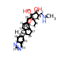 CNC[C@H]1C[C@@]23CC[C@@]4(O2)C(=CC[C@]2(C)[C@@H](c5ccc6ncncc6c5)CC[C@H]24)C=C3[C@@H](O)[C@@H]1O